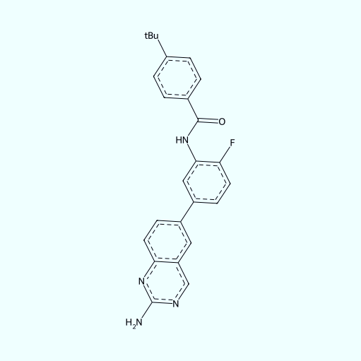 CC(C)(C)c1ccc(C(=O)Nc2cc(-c3ccc4nc(N)ncc4c3)ccc2F)cc1